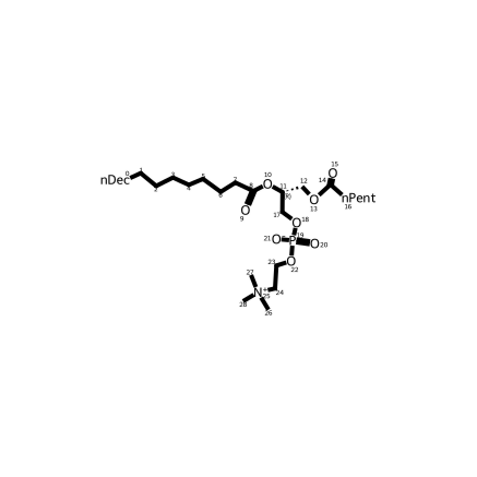 CCCCCCCCCCCCCCCCCC(=O)O[C@H](COC(=O)CCCCC)COP(=O)([O-])OCC[N+](C)(C)C